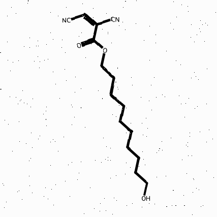 N#C/C=C(/C#N)C(=O)OCCCCCCCCCCO